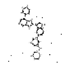 c1cc(-c2cncc3[nH]c(-c4c[nH]c5ncc(-c6cncc(CN7CCCCC7)c6)cc45)nc23)ccn1